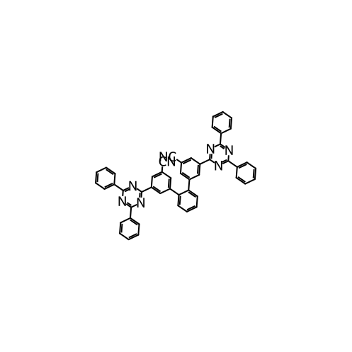 N#Cc1cc(-c2nc(-c3ccccc3)nc(-c3ccccc3)n2)cc(-c2ccccc2-c2cc(C#N)cc(-c3nc(-c4ccccc4)nc(-c4ccccc4)n3)c2)c1